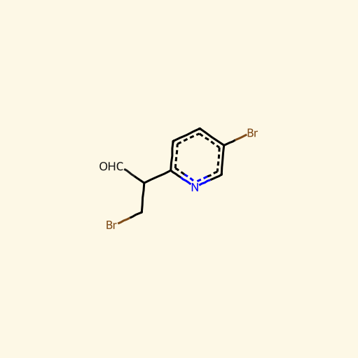 O=CC(CBr)c1ccc(Br)cn1